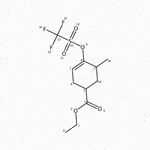 CCOC(=O)C1CC=C(OS(=O)(=O)C(F)(F)F)C(C)C1